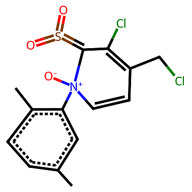 Cc1ccc(C)c([N+]2([O-])C=CC(CCl)=C(Cl)C2=S(=O)=O)c1